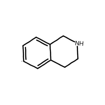 [c]1ccc2c(c1)CCNC2